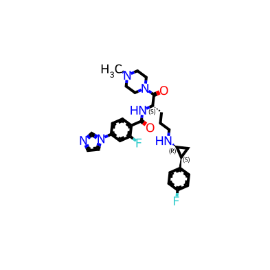 CN1CCN(C(=O)[C@H](CCCN[C@@H]2C[C@H]2c2ccc(F)cc2)NC(=O)c2ccc(-n3ccnc3)cc2F)CC1